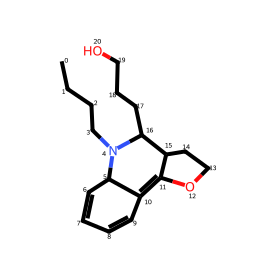 CCCCN1C2C=CC=CC2=C2OCCC2C1CCCO